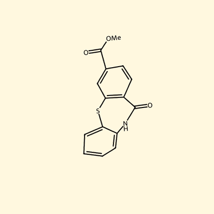 COC(=O)c1ccc2c(c1)Sc1ccccc1NC2=O